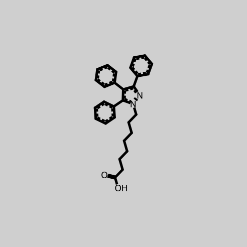 O=C(O)CCCCCCCn1nc(-c2ccccc2)c(-c2ccccc2)c1-c1ccccc1